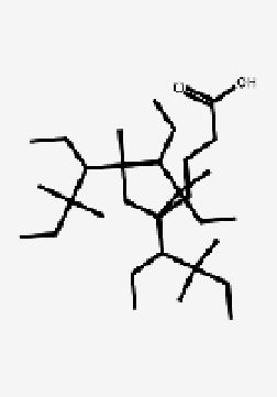 CCC(C(CCCC(=O)O)CC(C)(C(CC)C(C)(C)CC)C(CC)C(C)(C)CC)C(C)(C)CC